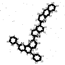 c1ccc(-c2ccc3cc(-c4ccccc4)c4ccc(-c5ccc6cc(-c7ccc8cc9ccccc9cc8n7)ccc6n5)nc4c3n2)cc1